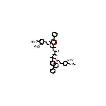 COc1ccc(CCN(CC(C)(OC(=O)C(=O)OC(C)(CN(CCc2ccc(OC)c(OC)c2)C2(C)SCCCS2)c2ccc(-c3ccccc3)cc2)c2ccc(-c3ccccc3)cc2)C2(C)SCCCS2)cc1OC